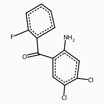 Nc1cc(Cl)c(Cl)cc1C(=O)c1ccccc1F